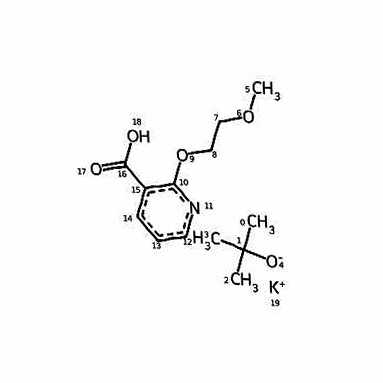 CC(C)(C)[O-].COCCOc1ncccc1C(=O)O.[K+]